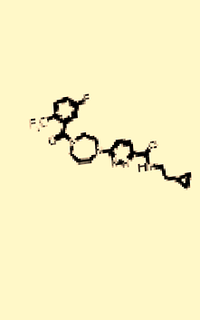 O=C(NCCC1CC1)c1ccc(N2CCCN(C(=O)c3cc(F)ccc3C(F)(F)F)CC2)nn1